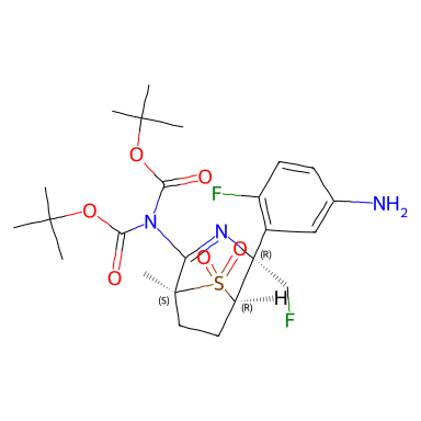 CC(C)(C)OC(=O)N(C(=O)OC(C)(C)C)C1=N[C@@](CF)(c2cc(N)ccc2F)[C@H]2CC[C@]1(C)S2(=O)=O